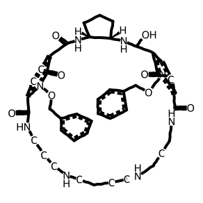 O=C1N[C@@H]2CCC[C@@H]2NC(O)c2ccc(n(OCc3ccccc3)c2=O)C(=O)NCCCNCCCCNCCCNC(=O)c2ccc1c(=O)n2OCc1ccccc1